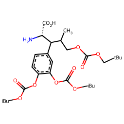 CCC(C)OC(=O)Oc1ccc(C(C(C)COC(=O)OCC(C)(C)C)[C@H](N)C(=O)O)cc1OC(=O)OC(C)CC